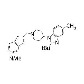 CNc1ccc2c(c1)CC(CN1CCC(n3c(C(C)(C)C)nc4cc(C)ccc43)CC1)C2